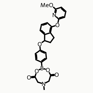 COc1cccc(Oc2cccc3c2CCC3Oc2ccc(B3OC(=O)CN(C)CC(=O)O3)cc2)n1